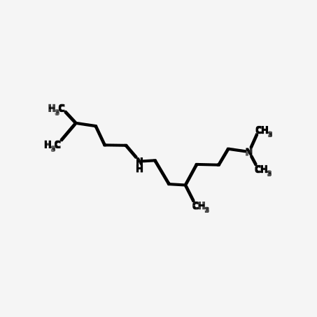 CC(C)CCCNCCC(C)CCCN(C)C